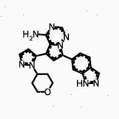 Nc1ncnn2c(-c3ccc4cn[nH]c4c3)cc(-c3ccnn3C3CCOCC3)c12